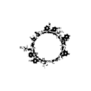 CC[C@H](C)[C@@H]1NC(=O)[C@H](Cc2ccc(OC)cc2)NC(=O)[C@H](Cc2ccc(O)cc2)NC(=O)[C@H](CC(N)=O)NC(=O)[C@H](Cc2c[nH]c3ccccc23)N(C)C(=O)[C@H](C(C)C)NC(=O)[C@H](Cc2cccc(Cl)c2)N(C)C(=O)[C@H](C(C)C)NC(=O)[C@H](C)NC(=O)CSC[C@@H](C(N)=O)NC(=O)[C@H](Cc2ccc(O)cc2)N(C)C(=O)[C@H](Cc2ccccc2)NC(=O)[C@@H](CCCNC(=N)N)NC(=O)C(C)(C)NC(=O)[C@H]([C@@H](C)CC)NC1=O